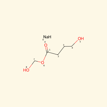 O=C(CCCO)OCO.[NaH]